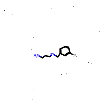 NCCCNCc1cccc(C(F)(F)F)c1